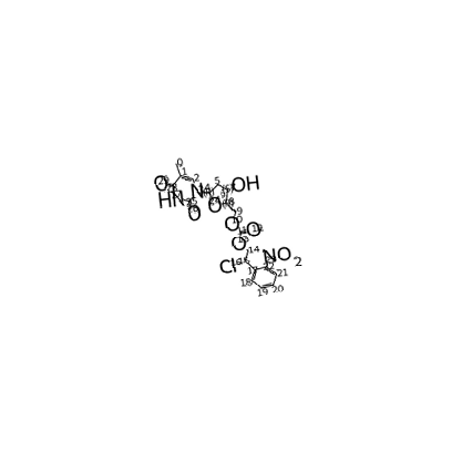 Cc1cn([C@H]2C[C@H](O)[C@@H](COC(=O)OCC(Cl)c3ccccc3[N+](=O)[O-])O2)c(=O)[nH]c1=O